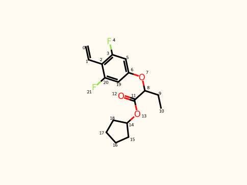 C=Cc1c(F)cc(OC(CC)C(=O)OC2CCCC2)cc1F